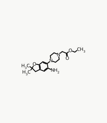 CCOC(=O)CN1CCN(c2cc3c(cc2N)CC(C)(C)O3)CC1